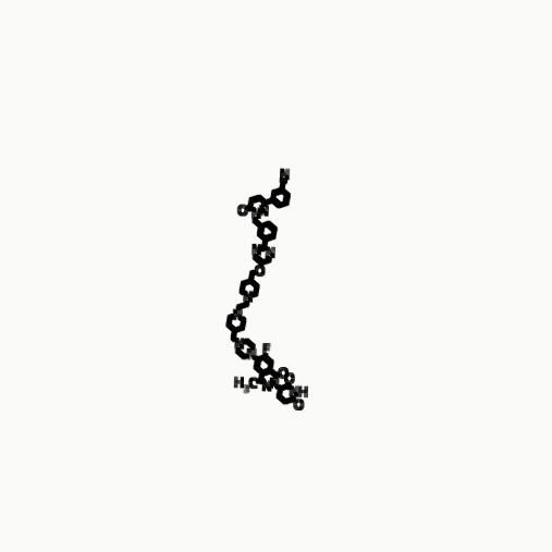 Cc1nn(C2CCC(=O)NC2=O)c(=O)c2cc(F)c(N3CCN(CC4CCN(CCN5CCC(COc6cnc(-c7cccc(Cn8nc(-c9cccc(C#N)c9)ccc8=O)c7)nc6)CC5)CC4)CC3)cc12